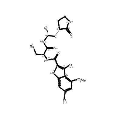 COc1cc(C(F)(F)F)cc2[nH]c(C(=O)N[C@@H](CC(C)(C)C)C(=O)N[C@H](C#N)C[C@@H]3CCNC3=O)c(C(F)(F)F)c12